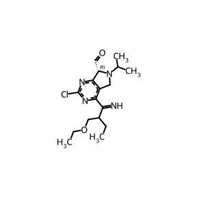 CCOCC(CC)C(=N)c1nc(Cl)nc2c1CN(C(C)C)[C@H]2C=O